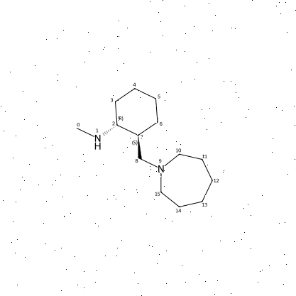 CN[C@@H]1CCCC[C@H]1CN1CCCCCC1